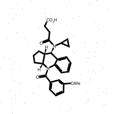 COc1cccc(C(=O)N2c3ccccc3[C@H](N(C(=O)CCC(=O)O)C3CC3)[C@H]3CCC[C@H]32)c1